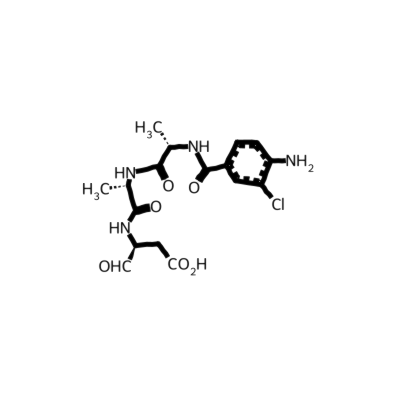 C[C@H](NC(=O)c1ccc(N)c(Cl)c1)C(=O)N[C@@H](C)C(=O)N[C@H](C=O)CC(=O)O